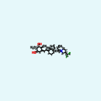 C=C1C(=CC=C2CCC[C@]3(C)[C@@H](C(C)CN4CCC(C(F)F)C4)CC[C@@H]23)C[C@@H](O)[C@H](C)[C@@H]1O